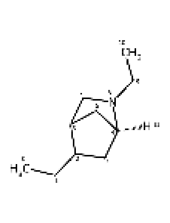 CCC1C[C@H]2CC1CN2CC